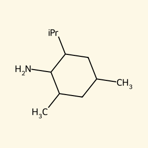 CC1CC(C)C(N)C(C(C)C)C1